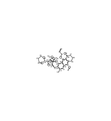 C=CCOc1c2c(c(OC)c3cc(C)c4c(c13)O[C@]1(OC)C3OC(C5OCCCO5)(OC43)[C@]13CO3)CCCC2=O